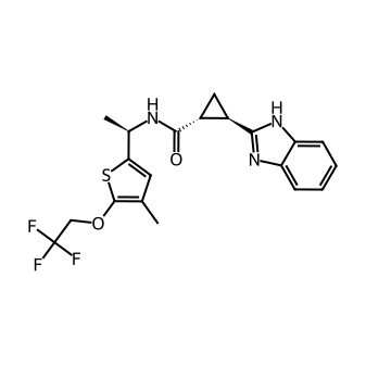 Cc1cc([C@@H](C)NC(=O)[C@@H]2C[C@H]2c2nc3ccccc3[nH]2)sc1OCC(F)(F)F